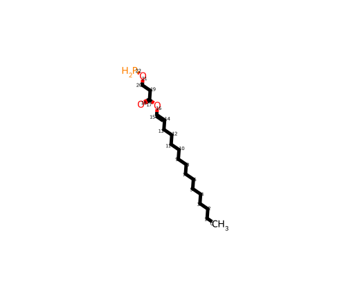 CCCCCCCCCCCCCCC=COC(=O)CCOP